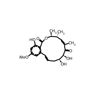 COc1cc(O)c2c(c1)/C=C/C[C@H](O)[C@H](O)C(=O)/C(C)=C\[C@@H](C)[C@H](C)OC2=O